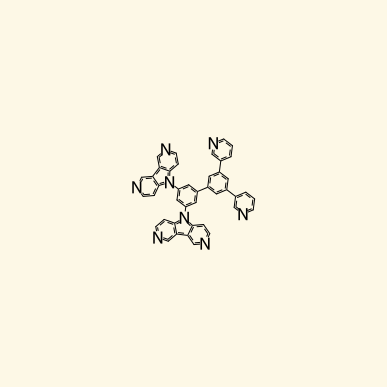 c1cncc(-c2cc(-c3cccnc3)cc(-c3cc(-n4c5ccncc5c5cnccc54)cc(-n4c5ccncc5c5cnccc54)c3)c2)c1